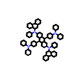 C1=CC(N(c2ccccc2)c2ccc(-c3c4c(c(-c5ccc(N(c6ccccc6)c6ccccc6)cc5)c5ccc(N(c6ccccc6)c6cc7ccccc7c7ccccc67)cc35)=CC(N(c3ccccc3)c3cc5ccccc5c5ccccc35)CC=4)cc2)=CCC1